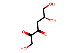 O=C(CO)C(=O)C[C@H](O)CO